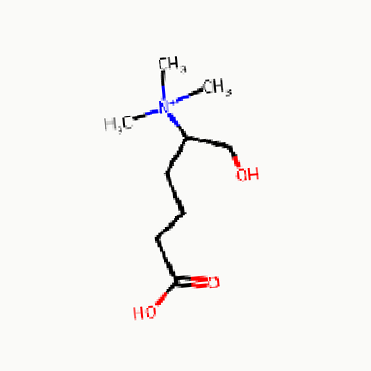 C[N+](C)(C)C(CO)CCCC(=O)O